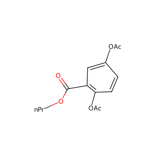 CCCOC(=O)c1cc(OC(C)=O)ccc1OC(C)=O